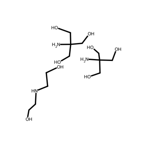 NC(CO)(CO)CO.NC(CO)(CO)CO.OCCNCCO